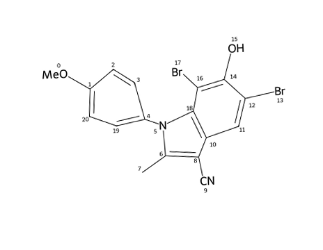 COc1ccc(-n2c(C)c(C#N)c3cc(Br)c(O)c(Br)c32)cc1